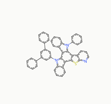 c1ccc(-c2cc(-c3ccccc3)cc(-n3c4ccccc4c4c5sc6ncccc6c5c5c(c6ccccc6n5-c5ccccc5)c43)c2)cc1